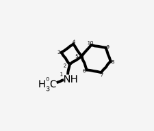 CNC1CCC12CCCCC2